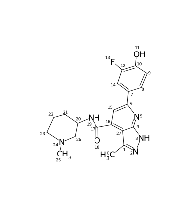 Cc1n[nH]c2nc(-c3ccc(O)c(F)c3)cc(C(=O)NC3CCCN(C)C3)c12